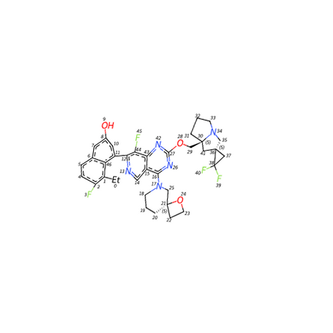 CCc1c(F)ccc2cc(O)cc(-c3ncc4c(N5CCC[C@]6(CCO6)C5)nc(OC[C@@]56CCCN5C[C@@]5(CC5(F)F)C6)nc4c3F)c12